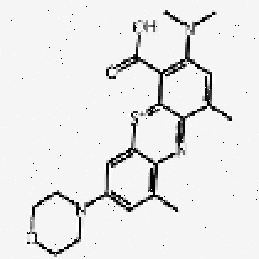 Cc1cc(N2CCOCC2)cc2[s+]c3c(C(=O)O)c(N(C)C)cc(C)c3nc12